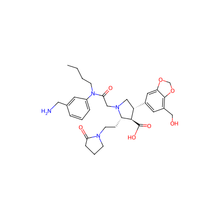 CCCCN(C(=O)CN1C[C@H](c2cc(CO)c3c(c2)OCO3)[C@@H](C(=O)O)[C@@H]1CCN1CCCC1=O)c1cccc(CN)c1